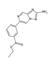 CCOC(=O)c1cccc(-c2cn3nc(N)nc3cn2)c1